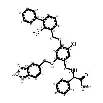 COC(=O)C(NCc1cc(Cl)c(OCc2cccc(-c3ccccc3)c2C)cc1OCc1ccc2nonc2c1)c1ccccc1